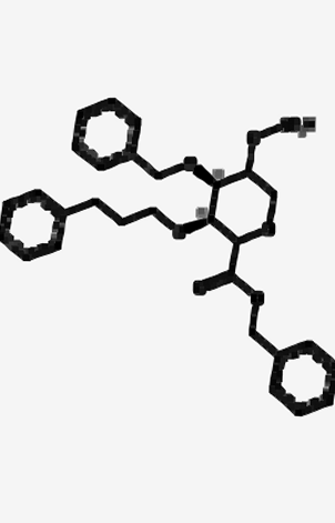 O=C(OCc1ccccc1)C1OCC(OS(=O)(=O)O)[C@H](OCc2ccccc2)[C@@H]1OCCCc1ccccc1